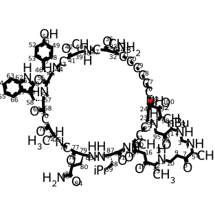 CCCC[C@H](NCN[C@@H](C)C(=O)CCN[C@@H](C)C(=O)CC(=O)[C@]1(C)CCC/C=C/CCCCCC[C@@](C)(N)C(=O)CN[C@@H](C)C(=O)CN[C@@H](Cc2ccc(O)cc2)C(=O)N[C@@H](Cc2c[nH]c3ccccc23)C(=O)CC(=O)[C@H](C)NCC(=O)[C@H](CCC(N)=O)NN[C@@H](CC(C)C)C(=O)N1)C(=O)CN[C@@H](C)C(=O)CN